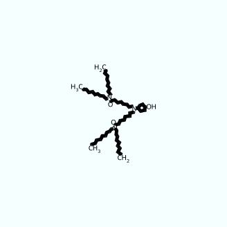 C=CCCCCCCCCN(CCCCCCCCCC)C(=O)CCCCCCCN(CCCCCCCC(=O)N(CCCCCCCCC=C)CCCCCCCCCC)C1CCC(O)CC1